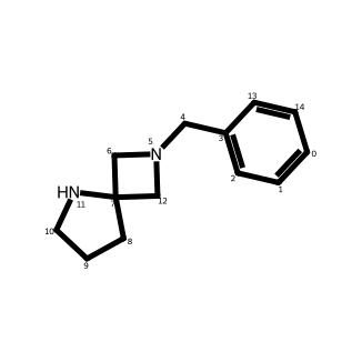 c1ccc(CN2CC3(CCCN3)C2)cc1